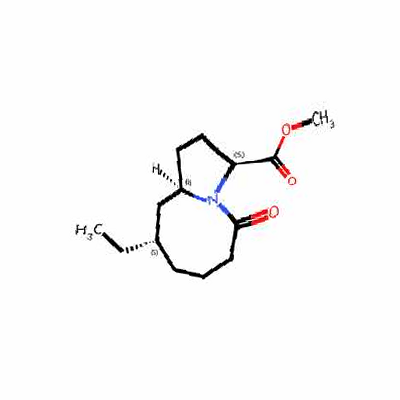 CC[C@H]1CCCC(=O)N2[C@H](CC[C@H]2C(=O)OC)C1